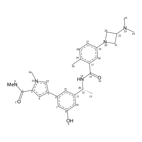 CNC(=O)c1cc(-c2cc(O)cc([C@@H](C)NC(=O)c3cc(N4CC(N(C)C)C4)ccc3C)c2)cn1C